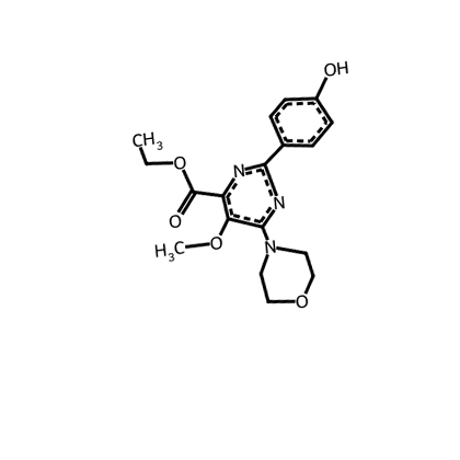 CCOC(=O)c1nc(-c2ccc(O)cc2)nc(N2CCOCC2)c1OC